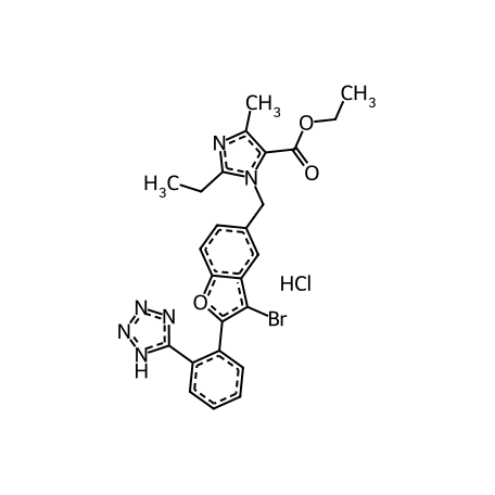 CCOC(=O)c1c(C)nc(CC)n1Cc1ccc2oc(-c3ccccc3-c3nnn[nH]3)c(Br)c2c1.Cl